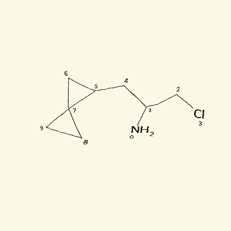 NC(CCl)CC1CC12CC2